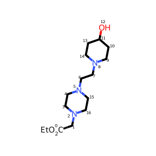 CCOC(=O)CN1CCN(CCN2CCC(O)CC2)CC1